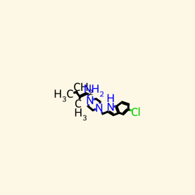 C=C(C)/C(C)=C(\N)N1CCN(Cc2cc3cc(Cl)ccc3[nH]2)CC1